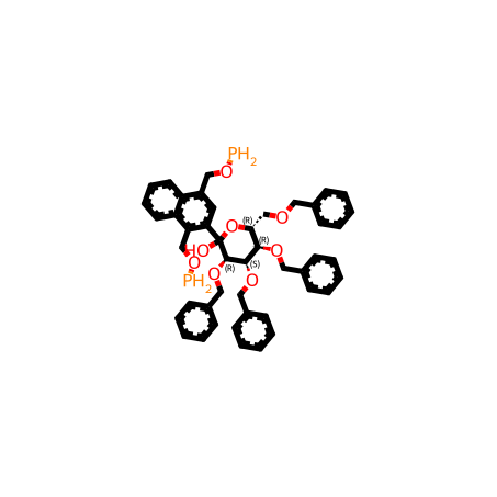 OC1(c2cc(COP)c3ccccc3c2COP)O[C@H](COCc2ccccc2)[C@@H](OCc2ccccc2)[C@H](OCc2ccccc2)[C@H]1OCc1ccccc1